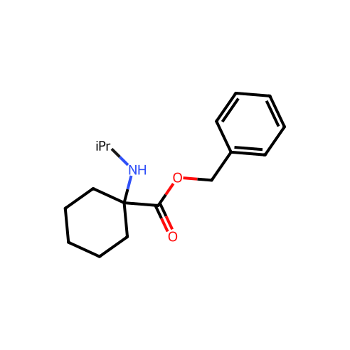 CC(C)NC1(C(=O)OCc2ccccc2)CCCCC1